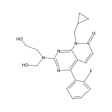 O=c1ccc2c(-c3ccccc3F)nc(N(CO)CCO)nc2n1CC1CC1